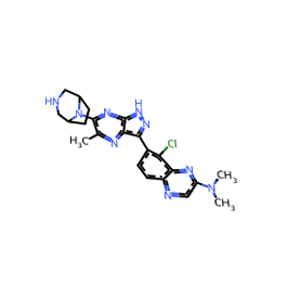 Cc1nc2c(-c3ccc4ncc(N(C)C)nc4c3Cl)n[nH]c2nc1N1C2CCC1CNC2